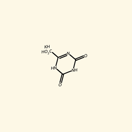 O=C(O)c1nc(=O)[nH]c(=O)[nH]1.[KH]